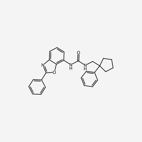 O=C(NCC1(c2ccccc2)CCCC1)Nc1cccc2nc(-c3ccccc3)oc12